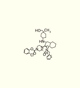 CC1(CO)CCC(NC(CC2CCCCC2)C(=O)N2CCN(C(=O)Oc3ccccc3Cl)C[C@H]2C(=O)NCc2cccs2)CC1